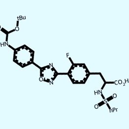 CCCS(=O)(=O)NC(Cc1ccc(-c2noc(-c3ccc(NC(=O)OC(C)(C)C)cc3)n2)c(F)c1)C(=O)O